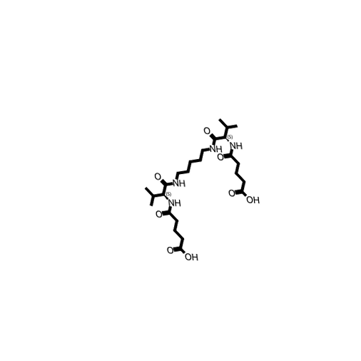 CC(C)[C@H](NC(=O)CCCC(=O)O)C(=O)NCCCCCNC(=O)[C@@H](NC(=O)CCCC(=O)O)C(C)C